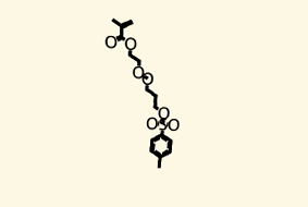 C=C(C)C(=O)OCCOOCCCOS(=O)(=O)c1ccc(C)cc1